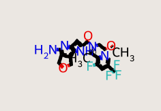 COCCN(C(=O)c1cc2nc(N)c3c(c2[nH]1)COC3)[C@H](C)c1ncc(C(F)(F)F)cc1F